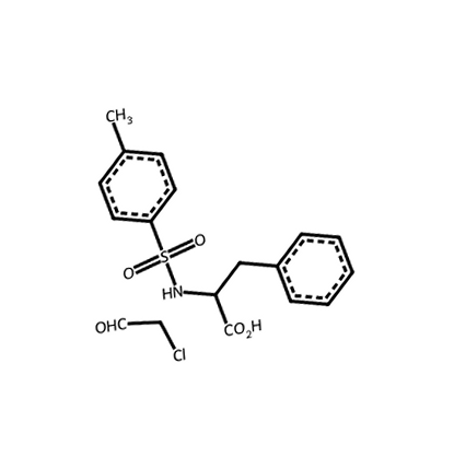 Cc1ccc(S(=O)(=O)NC(Cc2ccccc2)C(=O)O)cc1.O=CCCl